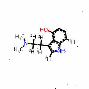 [2H]c1[nH]c2c([2H])ccc(O)c2c1C([2H])([2H])C([2H])([2H])N(C)C